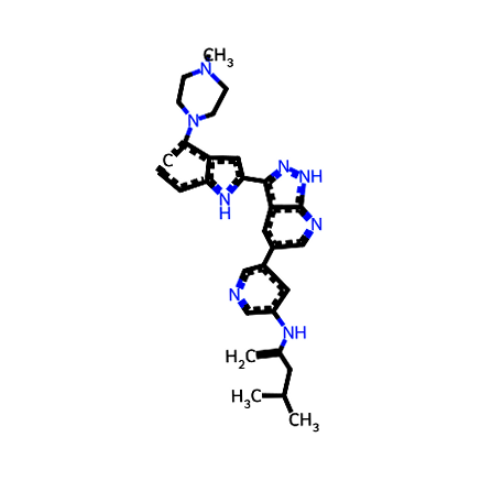 C=C(CC(C)C)Nc1cncc(-c2cnc3[nH]nc(-c4cc5c(N6CCN(C)CC6)cccc5[nH]4)c3c2)c1